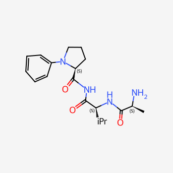 CC(C)[C@H](NC(=O)[C@H](C)N)C(=O)NC(=O)[C@@H]1CCCN1c1ccccc1